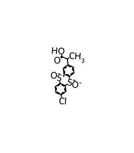 CC(C(=O)O)c1ccc2c(c1)[S+]([O-])c1ccc(Cl)cc1[S+]2[O-]